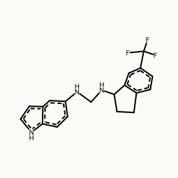 FC(F)(F)c1ccc2c(c1)C(NCNc1ccc3[nH]ccc3c1)CC2